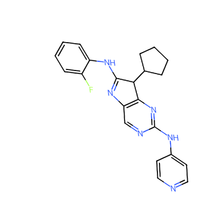 Fc1ccccc1NC1=Nc2cnc(Nc3ccncc3)nc2C1C1CCCC1